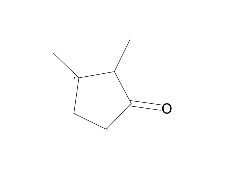 C[C]1CCC(=O)C1C